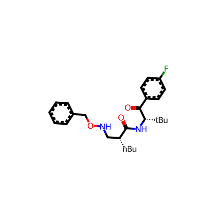 CCCC[C@H](CNOCc1ccccc1)C(=O)N[C@H](C(=O)c1ccc(F)cc1)C(C)(C)C